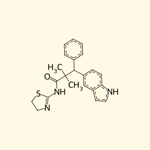 CC(C)(C(=O)NC1=NCCS1)C(c1ccccc1)c1ccc2[nH]ccc2c1